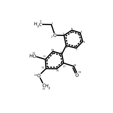 CCOc1ccccc1-c1cc(O)c(OC)cc1C=O